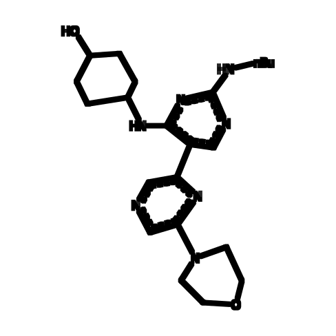 CCCCNc1ncc(-c2cncc(N3CCOCC3)n2)c(NC2CCC(O)CC2)n1